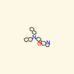 c1ccc2cc(N(c3ccc4ccccc4c3)c3ccc4c(c3)oc3cc5cccnc5cc34)ccc2c1